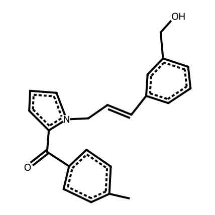 Cc1ccc(C(=O)c2cccn2CC=Cc2cccc(CO)c2)cc1